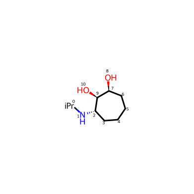 CC(C)N[C@H]1CCCC[C@H](O)[C@@H]1O